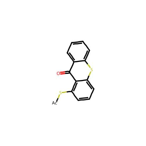 CC(=O)Sc1cccc2sc3ccccc3c(=O)c12